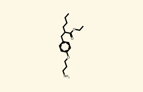 CCCCC(Cc1ccc(OCCCN)cc1)C(=O)OCC